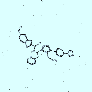 CCn1c(-c2ccc(-n3ccnc3)cc2)cnc1C(Cc1ccccn1)NC(=O)c1cc2cc(C=O)ccc2o1